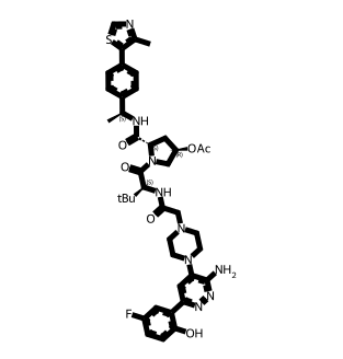 CC(=O)O[C@@H]1C[C@@H](C(=O)N[C@@H](C)c2ccc(-c3scnc3C)cc2)N(C(=O)[C@@H](NC(=O)CN2CCN(c3cc(-c4cc(F)ccc4O)nnc3N)CC2)C(C)(C)C)C1